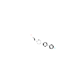 COCC=C[C@H]1CC[C@H](c2ccc(-c3ccc(F)cc3)cc2)CC1